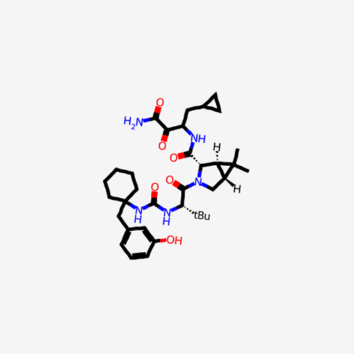 CC(C)(C)[C@H](NC(=O)NC1(Cc2cccc(O)c2)CCCCC1)C(=O)N1C[C@@H]2[C@@H]([C@H]1C(=O)NC(CC1CC1)C(=O)C(N)=O)C2(C)C